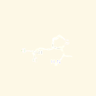 CC(N)c1sccc1C[CH2][SnH]([Cl])[Cl]